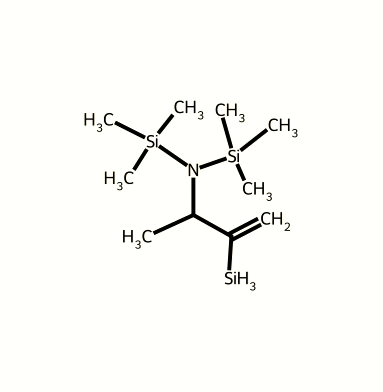 C=C([SiH3])C(C)N([Si](C)(C)C)[Si](C)(C)C